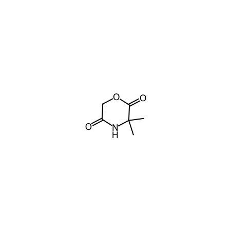 CC1(C)NC(=O)COC1=O